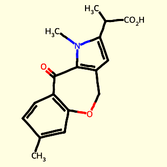 Cc1ccc2c(c1)OCc1cc(C(C)C(=O)O)n(C)c1C2=O